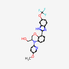 COc1ccc(N2c3cccc(-c4nc5ccc(OC(F)(F)F)cc5[nH]4)c3OCC2CO)nc1